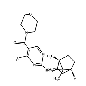 CC1(C)[C@@H]2CC[C@@]1(C)[C@@H](Nc1ncc(C(=O)N3CCOCC3)c(C(F)(F)F)n1)C2